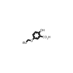 CCC(C)COc1ccc(O)c(C(=O)O)c1